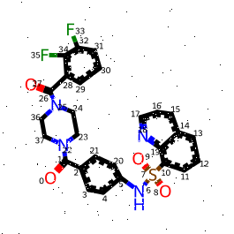 O=C(c1ccc(NS(=O)(=O)c2cccc3cccnc23)cc1)N1CCN(C(=O)c2cccc(F)c2F)CC1